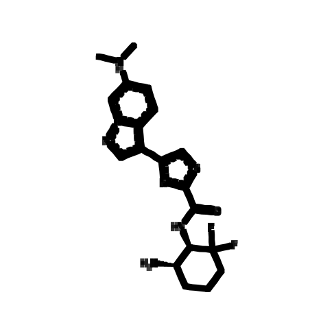 C[SiH](C)c1ccc2c(-c3csc(C(=O)N[C@@H]4[C@@H](N)CCCC4(F)F)n3)cnn2c1